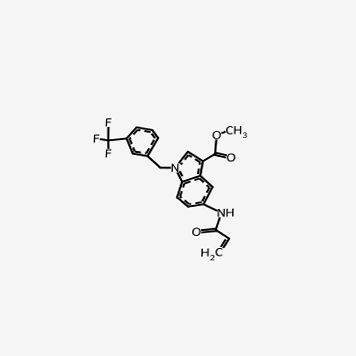 C=CC(=O)Nc1ccc2c(c1)c(C(=O)OC)cn2Cc1cccc(C(F)(F)F)c1